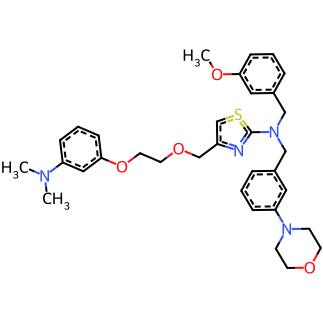 COc1cccc(CN(Cc2cccc(N3CCOCC3)c2)c2nc(COCCOc3cccc(N(C)C)c3)cs2)c1